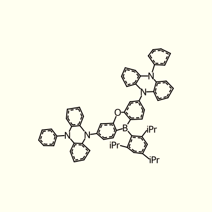 CC(C)c1cc(C(C)C)c(B2c3ccc(N4c5ccccc5N(c5ccccc5)c5ccccc54)cc3Oc3cc(N4c5ccccc5N(c5ccccc5)c5ccccc54)ccc32)c(C(C)C)c1